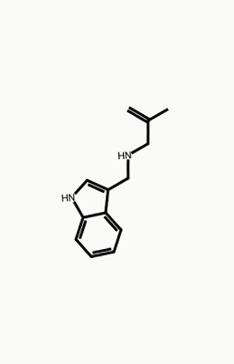 C=C(C)CNCc1c[nH]c2ccccc12